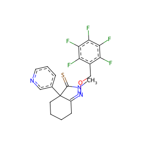 CNC(=S)C1(c2cccnc2)CCCC/C1=N/OCc1c(F)c(F)c(F)c(F)c1F